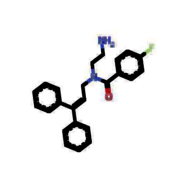 NCCN(CC=C(c1ccccc1)c1ccccc1)C(=O)c1ccc(F)cc1